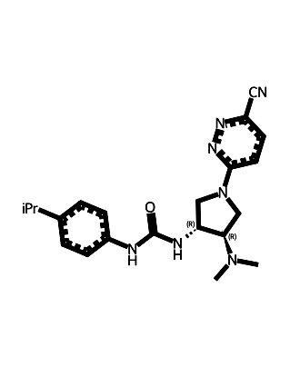 CC(C)c1ccc(NC(=O)N[C@@H]2CN(c3ccc(C#N)nn3)C[C@H]2N(C)C)cc1